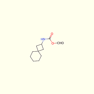 O=COC(=O)NC1CC2(CCCCC2)C1